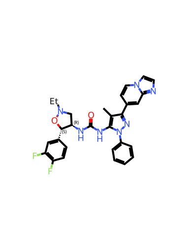 CCN1C[C@@H](NC(=O)Nc2c(C)c(-c3ccn4ccnc4c3)nn2-c2ccccc2)[C@H](c2ccc(F)c(F)c2)O1